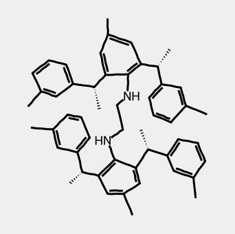 Cc1cccc([C@@H](C)c2cc(C)cc([C@H](C)c3cccc(C)c3)c2NCCNc2c([C@H](C)c3cccc(C)c3)cc(C)cc2[C@H](C)c2cccc(C)c2)c1